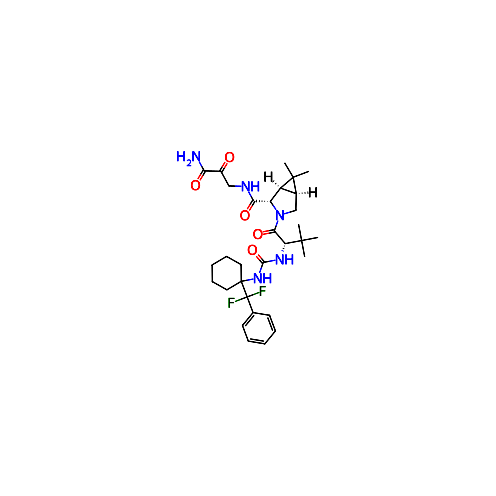 CC(C)(C)[C@H](NC(=O)NC1(C(F)(F)c2ccccc2)CCCCC1)C(=O)N1C[C@H]2[C@@H]([C@H]1C(=O)NCC(=O)C(N)=O)C2(C)C